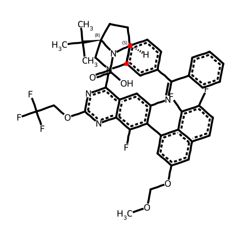 COCOc1cc(-c2c(N=C(c3ccccc3)c3ccccc3)cc3c(N4C[C@@H]5CC[C@@](C(C)(C)C)(C4)N5C(=O)O)nc(OCC(F)(F)F)nc3c2F)c2c(F)c(F)ccc2c1